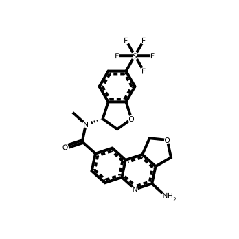 CN(C(=O)c1ccc2nc(N)c3c(c2c1)COC3)[C@H]1COc2cc(S(F)(F)(F)(F)F)ccc21